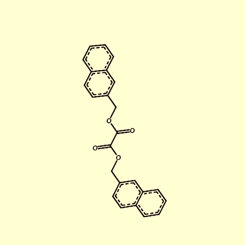 O=C(OCc1ccc2ccccc2c1)C(=O)OCc1ccc2ccccc2c1